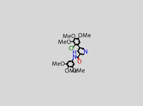 COc1cc(NC(=O)c2cncc(-c3cc(OC)c(OC)c(OC)c3Cl)c2)cc(OC)c1OC